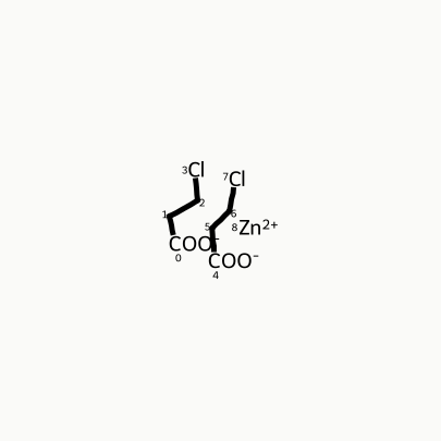 O=C([O-])CCCl.O=C([O-])CCCl.[Zn+2]